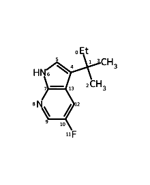 CCC(C)(C)c1c[nH]c2ncc(F)cc12